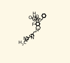 Cn1cc(-n2cc(CCN3CCc4cc(OCc5ccccc5)c(N5CC(=O)NS5(=O)=O)c(F)c4C3)cn2)cn1